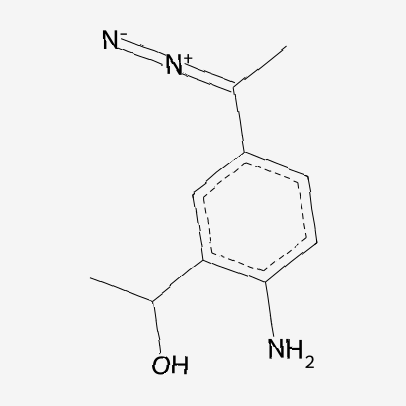 CC(=[N+]=[N-])c1ccc(N)c(C(C)O)c1